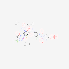 C#CCN1C(=O)C2(CC2C2CC2CN2C(=O)C3(CC3)Oc3cc(F)c(N4C(=O)C5CC(O)CN5C4=O)cc32)Oc2cc(F)c(-n3c(=O)cc(C(F)(F)F)n(CCC)c3=O)cc21